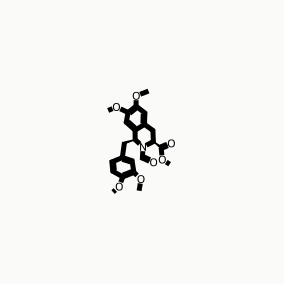 COC(=O)[C@@H]1Cc2cc(OC)c(OC)cc2[C@H](Cc2ccc(OC)c(OC)c2)N1C=O